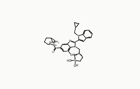 COc1cc(C(=O)N2CC3CCC2[C@@H]3N)cc2nc(-c3cc4ccccc4n3CC3CC3)n(CC3CCS(O)(O)C3)c12